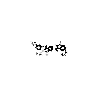 COc1ccc2c(c1)[C@]1(C[C@H]1c1ccc3c(Nc4cc(C)ncc4OC)n[nH]c3c1)C(=O)N2